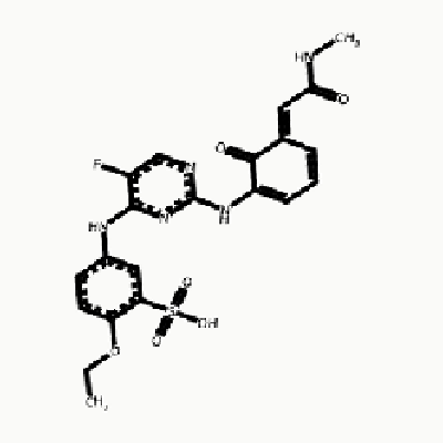 CCOc1ccc(Nc2nc(NC3=CC=CC(=CC(=O)NC)C3=O)ncc2F)cc1S(=O)(=O)O